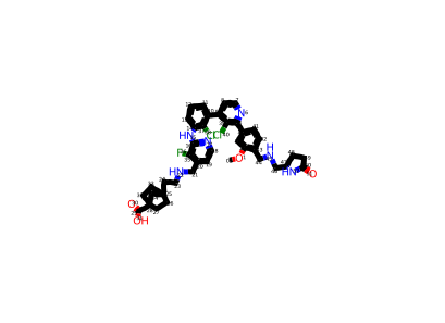 COc1cc(-c2nccc(-c3cccc(Nc4nccc(CNCCC56CCC(C(=O)O)(CC5)C6)c4F)c3Cl)c2Cl)ccc1CNCC1CCC(=O)N1